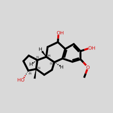 COc1cc2c(cc1O)C(O)C[C@@H]1[C@@H]2CC[C@]2(C)[C@H](O)CC[C@@H]12